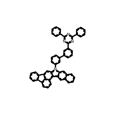 c1ccc(-c2nc(-c3ccccc3)nc(-c3cccc(-c4cccc(-n5c6cc7ccccc7cc6c6c7cccc8c7c(cc65)-c5ccccc5-8)c4)c3)n2)cc1